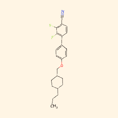 CCCC1CCC(COc2ccc(-c3ccc(C#N)c(F)c3F)cc2)CC1